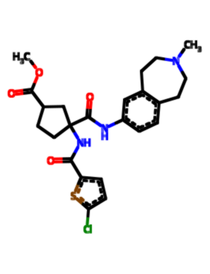 COC(=O)C1CCC(NC(=O)c2ccc(Cl)s2)(C(=O)Nc2ccc3c(c2)CCN(C)CC3)C1